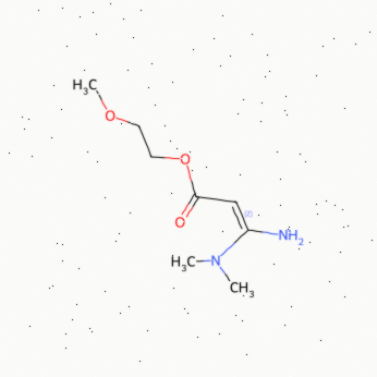 COCCOC(=O)/C=C(/N)N(C)C